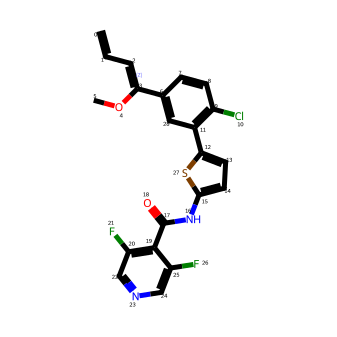 C=C/C=C(\OC)c1ccc(Cl)c(-c2ccc(NC(=O)c3c(F)cncc3F)s2)c1